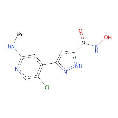 CC(C)Nc1cc(-c2cc(C(=O)NO)[nH]n2)c(Cl)cn1